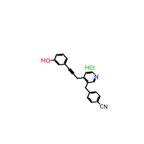 Cl.N#Cc1ccc(Cc2cnccc2CC#Cc2cccc(O)c2)cc1